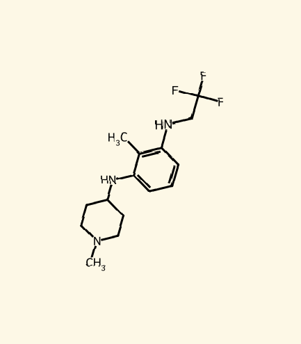 Cc1c(NCC(F)(F)F)cccc1NC1CCN(C)CC1